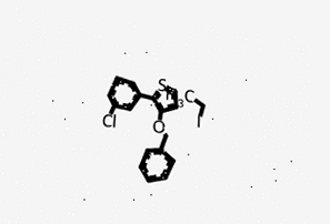 CCI.Clc1cccc(-c2sccc2OCc2ccccc2)c1